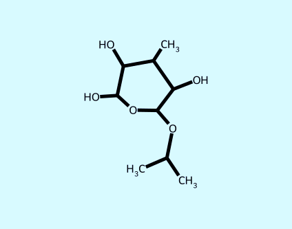 CC(C)OC1OC(O)C(O)C(C)C1O